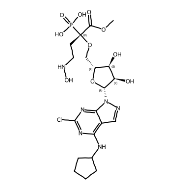 COC(=O)[C@](CCNO)(OC[C@H]1O[C@@H](n2ncc3c(NC4CCCC4)nc(Cl)nc32)[C@H](O)[C@@H]1O)P(=O)(O)O